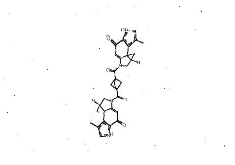 Cc1c[nH]c2c1C13C[C@@H]1CN(C(=O)C14CC(C(=O)N5C[C@H]6C[C@@]67C5=CC(=O)c5[nH]cc(C)c57)(C1)C4)C3=CC2=O